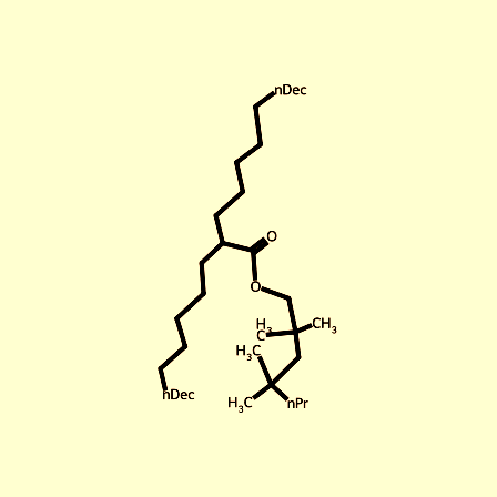 CCCCCCCCCCCCCCCC(CCCCCCCCCCCCCCC)C(=O)OCC(C)(C)CC(C)(C)CCC